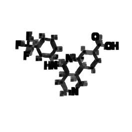 O=C(O)c1ccc2c(c1)nc(Nc1cccc(C(F)(F)F)c1)c1ccncc12